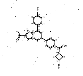 CC(=O)c1cc2cc(-c3ccc(C(=O)N4CC(F)C4)cc3)cc(-c3ccc(F)cc3)c2o1